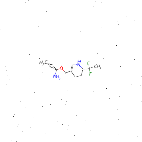 C=C=C(N)OCC1=CN[C@H](C(C)(F)F)CC1